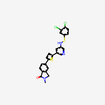 CN1Cc2cc(-c3ccc(-c4cncc(NSc5ccc(Cl)c(Cl)c5)c4)s3)ccc2C1=O